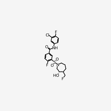 O=C(Nc1ccc(F)c(Cl)c1)c1ccc(F)c(S(=O)(=O)N2CCCC(CF)[C@H](O)C2)c1